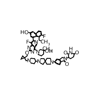 CCc1c(F)ccc2cc(O)cc(-c3ncc4c(N5CCC[C@@](C)(O)C5)nc(OCC5(CN6CCC(N7CCC8(CCN(c9ccc%10c(c9)CN(C9CCC(=O)NC9=O)C%10=O)CC8)CC7)CC6)CC5)nc4c3F)c12